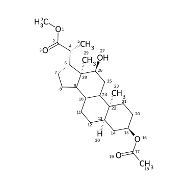 COC(=O)[C@H](C)[C@H]1CCC2C3CC[C@@H]4C[C@H](OC(C)=O)CC[C@]4(C)C3C[C@H](O)[C@@]21C